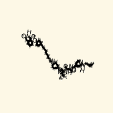 O=C1Cc2cccc(Oc3ccc(CCCCCCNC[C@H]4CC[C@H](n5cc(NC(=O)c6coc(-c7ccnc(NCC8CC8)c7)n6)c(C(F)F)n5)CC4)cc3)c2C(=O)N1